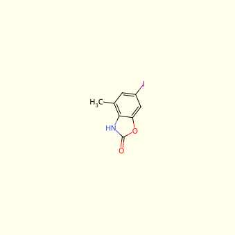 Cc1cc(I)cc2oc(=O)[nH]c12